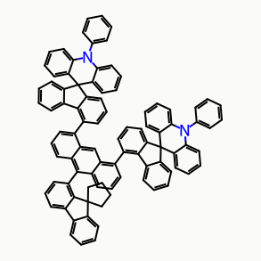 c1ccc(N2c3ccccc3C3(c4ccccc4-c4c(-c5cccc6c(-c7cccc8c7C7(CCCC7)c7ccccc7-8)c7cccc(-c8cccc9c8-c8ccccc8C98c9ccccc9N(c9ccccc9)c9ccccc98)c7cc56)cccc43)c3ccccc32)cc1